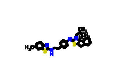 C=C(C)CN1/C(=N/c2ccc(CCNc3nc4ccc(C)cc4s3)cc2)SC2Cc3ccccc3[C@@H]21